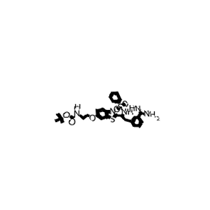 CC(C)(C)OC(=O)NCCOc1ccc2nc(C(Cc3cccc(C(=N)N)c3)NS(=O)(=O)c3ccccc3)sc2c1